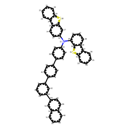 c1cc(-c2ccc(-c3ccc(N(c4ccc5c(c4)sc4ccccc45)c4cccc5c4sc4ccccc45)cc3)cc2)cc(-c2ccc3ccccc3c2)c1